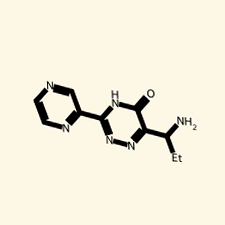 CCC(N)c1nnc(-c2cnccn2)[nH]c1=O